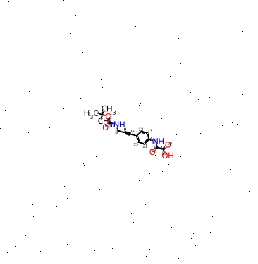 CC(C)(C)OC(=O)NCC#Cc1ccc(NC(=O)C(=O)O)cc1